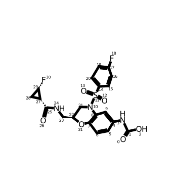 O=C(O)Nc1ccc2c(c1)N(S(=O)(=O)c1ccc(F)cc1)C[C@H](CNC(=O)[C@@H]1C[C@@H]1F)O2